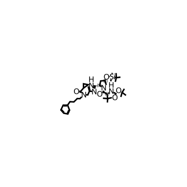 CC(C)(C)OC(=O)N[C@H](C(=O)N1C[C@H](O[Si](C)(C)C(C)(C)C)C[C@H]1c1nc(CN(CCCCc2ccccc2)C(=O)C2CC2)c[nH]1)C(C)(C)C